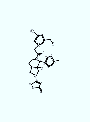 O=C1C=C(N2CC3CCN(C(=O)Cc4cc(CF)cc(C(F)(F)F)c4)C(c4ccc(F)cc4)[C@@H]3C2)CC1